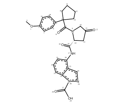 COc1ccc(C2(C(=O)N3CC(=O)C[C@@H]3C(=O)Nc3cccc4c3cnn4C(=O)O)CCCC2)cc1